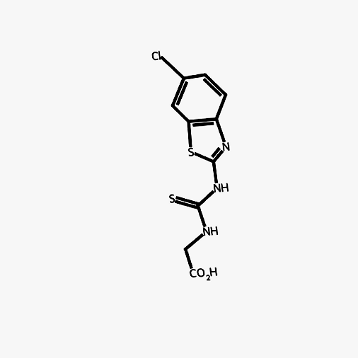 O=C(O)CNC(=S)Nc1nc2ccc(Cl)cc2s1